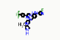 C[N+]1(C2CCNCC2)CCC(N(Cc2ccc(Nc3ccnc(F)c3)cc2)c2nccc(-c3ccc(C(F)(F)F)cc3)n2)CC1